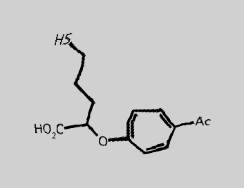 CC(=O)c1ccc(OC(CCCS)C(=O)O)cc1